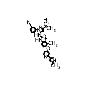 Cc1c(Oc2ccnc(-c3cnn(C)c3)c2)ccc(NC(=O)Nc2cc(C(C)C)nn2-c2cccc(C#N)c2)c1F